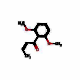 C/[C]=C\C(=O)c1c(OC)cccc1OC